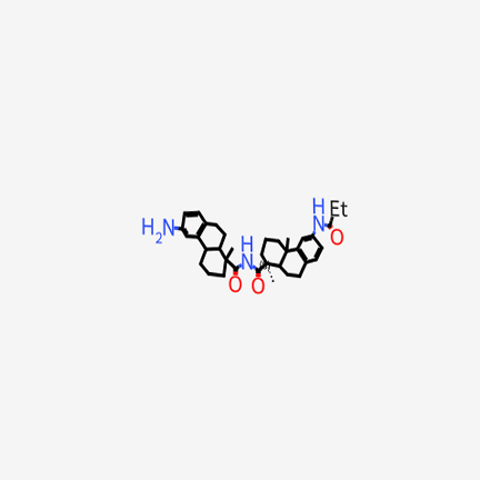 CCC(=O)Nc1ccc2c(c1)C1(C)CCC[C@](C)(C(=O)NC(=O)C3(C)CCCC4c5cc(N)ccc5CCC43)C1CC2